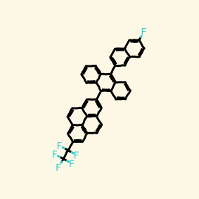 Fc1ccc2cc(-c3c4ccccc4c(-c4cc5ccc6cc(C(F)(F)C(F)(F)F)cc7ccc(c4)c5c67)c4ccccc34)ccc2c1